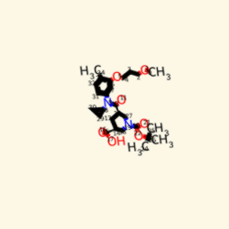 COCCCOc1cc(N(C(=O)[C@@H]2C[C@H](C(=O)O)CN(C(=O)OC(C)(C)C)C2)C2CC2)ccc1C